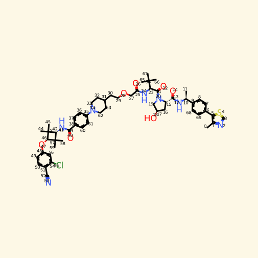 Cc1ncsc1-c1ccc([C@H](C)NC(=O)[C@@H]2C[C@@H](O)CN2C(=O)C(NC(=O)COCCC2CCN(c3ccc(C(=O)N[C@H]4C(C)(C)[C@H](Oc5ccc(C#N)c(Cl)c5)C4(C)C)cc3)CC2)C(C)(C)C)cc1